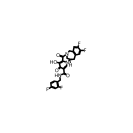 O=C(NCc1ccc(F)cc1F)c1cn2c(c(O)c1=O)C(=O)N1Cc3cc(F)c(F)cc3C[C@H]2C1